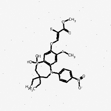 CCC1(CC)CN(c2ccc([N+](=O)[O-])cc2)c2cc(SC)c(O/C=C(\F)C(=O)OC)cc2S(O)(O)C1